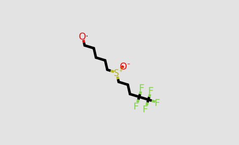 [O]CCCCC[S+]([O-])CCCC(F)(F)C(F)(F)F